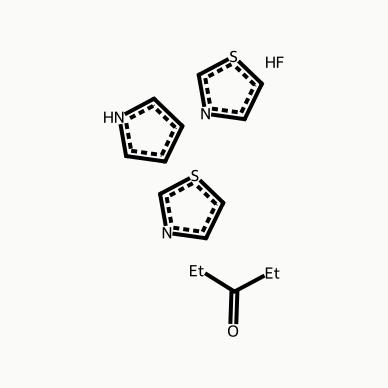 CCC(=O)CC.F.c1cc[nH]c1.c1cscn1.c1cscn1